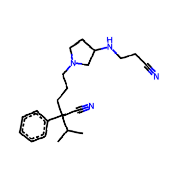 CC(C)C(C#N)(CCCN1CCC(NCCC#N)C1)c1ccccc1